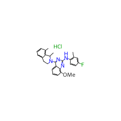 COc1cccc2c(N3CCc4cccc(C)c4C3C)nc(Nc3ccc(F)cc3C)nc12.Cl